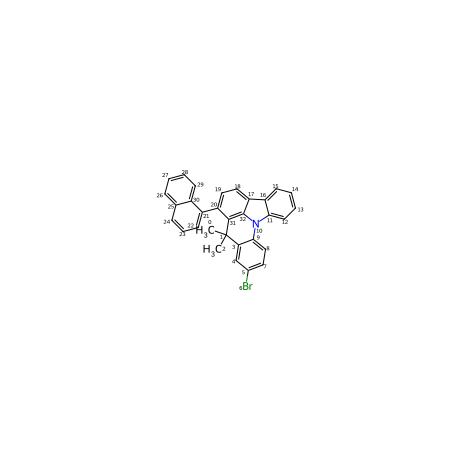 CC1(C)c2cc(Br)ccc2-n2c3ccccc3c3ccc(-c4cccc5ccccc45)c1c32